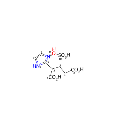 O=C(O)CCC(C(=O)O)c1ncc[nH]1.O=S(=O)(O)O